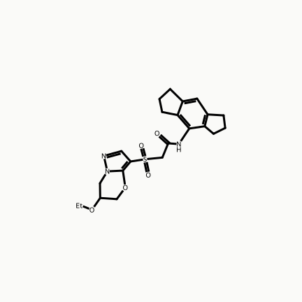 CCOC1COc2c(S(=O)(=O)CC(=O)Nc3c4c(cc5c3CCC5)CCC4)cnn2C1